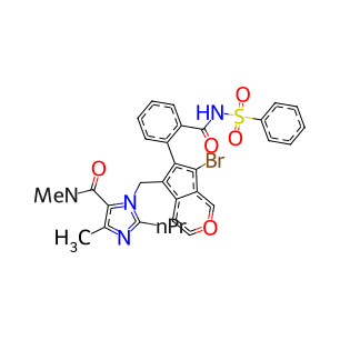 CCCc1nc(C)c(C(=O)NC)n1Cc1c2ccocc-2c(Br)c1-c1ccccc1C(=O)NS(=O)(=O)c1ccccc1